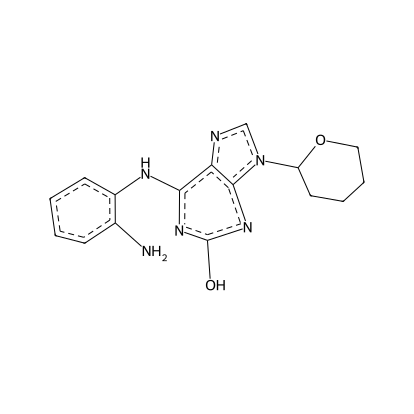 Nc1ccccc1Nc1nc(O)nc2c1ncn2C1CCCCO1